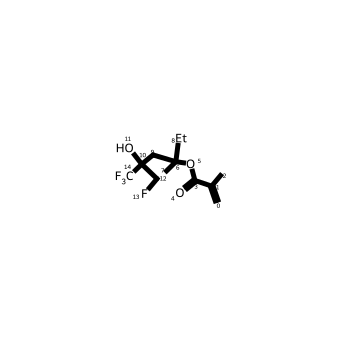 C=C(C)C(=O)OC(C)(CC)CC(O)(CF)C(F)(F)F